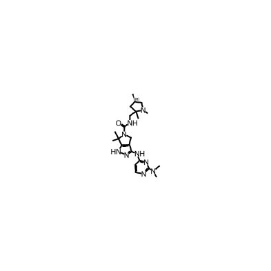 C[C@H]1CN(C)C(C)(CNC(=O)N2Cc3c(Nc4ccnc(N(C)C)n4)n[nH]c3C2(C)C)C1